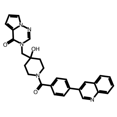 O=C(c1ccc(-c2cnc3ccccc3c2)cc1)N1CCC(O)(Cn2cnn3cccc3c2=O)CC1